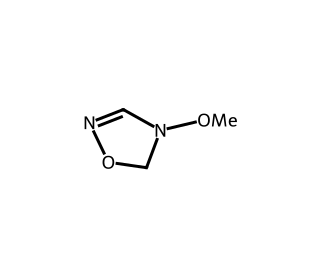 CON1C=NOC1